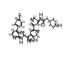 O=C(CC1CCNCC1)Nc1cncc(-c2cc3c(-c4nc5c(-c6ccc(F)cc6)ccnc5[nH]4)n[nH]c3cn2)c1